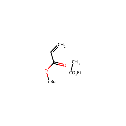 C=CC(=O)OCCCC.CCOC(C)=O